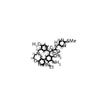 CCNc1ccc(C(c2ccc(C)c(CN3CCOc4ncccc4S3)c2)C(C)(C)C(=O)Nc2cnc(SC)nc2)c(C)c1N